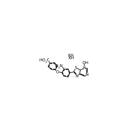 O=C(O)c1ccc(Oc2ccc(C3=NC4=CN=CN(O)C4S3)cc2[N+](=O)[O-])cc1.[KH].[KH]